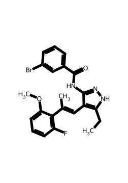 CCc1[nH]nc(NC(=O)c2cccc(Br)c2)c1/C=C(\C)c1c(F)cccc1OC